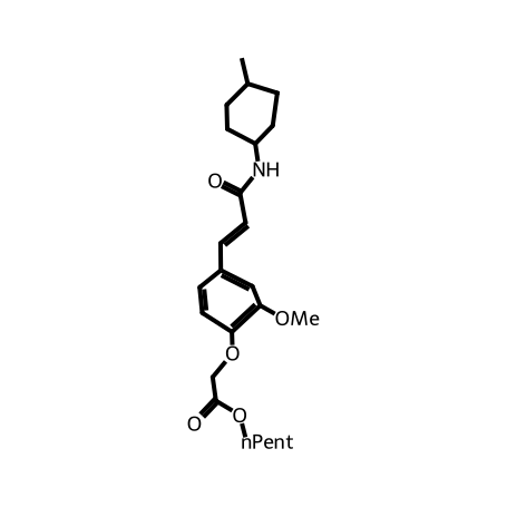 CCCCCOC(=O)COc1ccc(C=CC(=O)NC2CCC(C)CC2)cc1OC